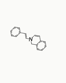 C1=CN(/C=C/c2ccccc2)Cc2ccccc21